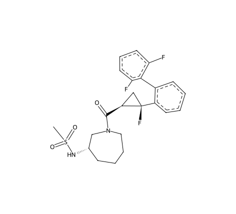 CS(=O)(=O)N[C@H]1CCCCN(C(=O)[C@H]2C[C@]2(F)c2ccccc2-c2c(F)cccc2F)C1